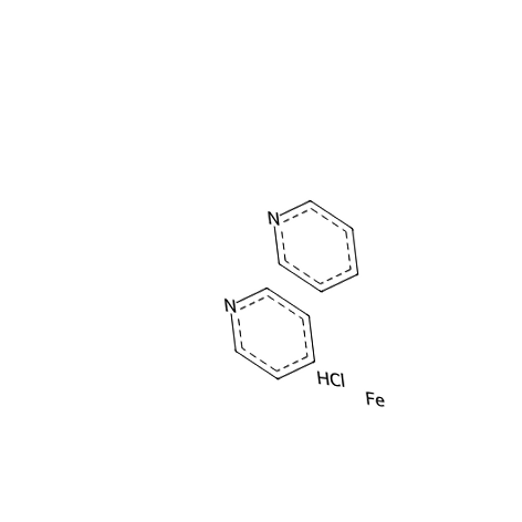 Cl.[Fe].c1ccncc1.c1ccncc1